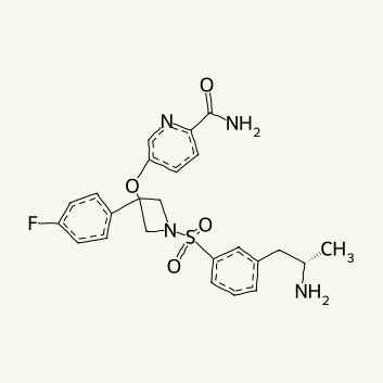 C[C@H](N)Cc1cccc(S(=O)(=O)N2CC(Oc3ccc(C(N)=O)nc3)(c3ccc(F)cc3)C2)c1